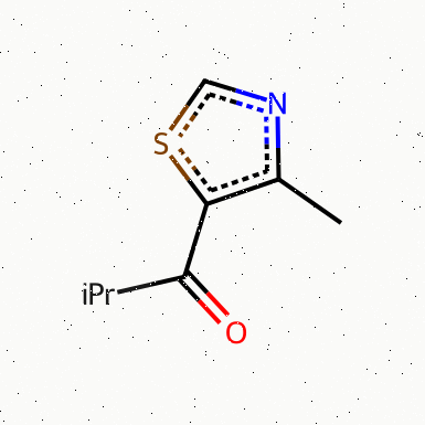 Cc1ncsc1C(=O)C(C)C